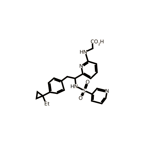 CCC1(c2ccc(CC(NS(=O)(=O)c3cccnc3)c3cccc(NCC(=O)O)n3)cc2)CC1